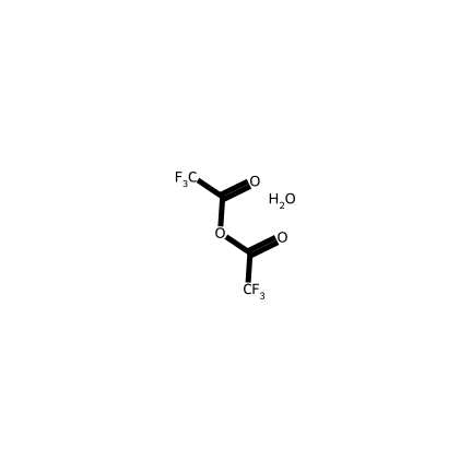 O.O=C(OC(=O)C(F)(F)F)C(F)(F)F